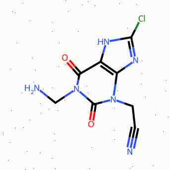 N#CCn1c(=O)n(CN)c(=O)c2[nH]c(Cl)nc21